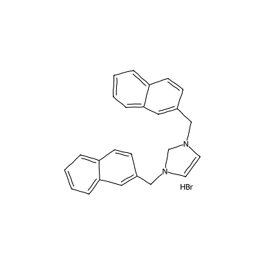 Br.C1=CN(Cc2ccc3ccccc3c2)CN1Cc1ccc2ccccc2c1